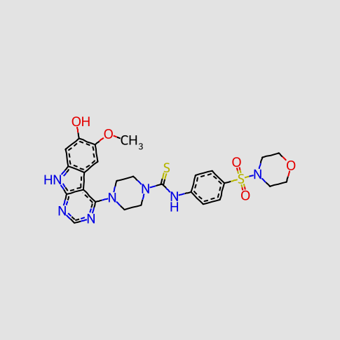 COc1cc2c(cc1O)[nH]c1ncnc(N3CCN(C(=S)Nc4ccc(S(=O)(=O)N5CCOCC5)cc4)CC3)c12